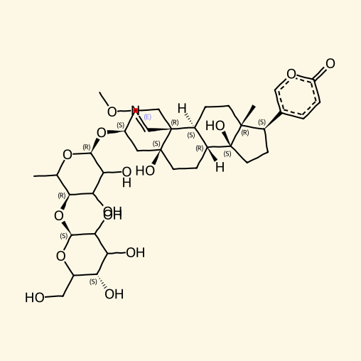 CO/N=C/[C@]12CC[C@H](O[C@@H]3OC(C)[C@H](O[C@@H]4OC(CO)[C@@H](O)C(O)C4O)C(O)C3O)C[C@@]1(O)CC[C@@H]1[C@@H]2CC[C@]2(C)[C@@H](c3ccc(=O)oc3)CC[C@]12O